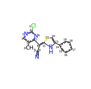 Cc1cnc(Cl)nc1/C(C#N)=C1/NC(c2ccccc2)=CS1